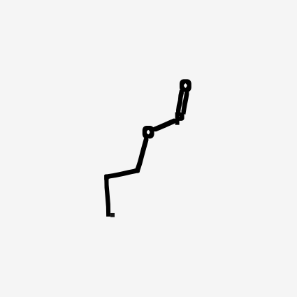 [CH2]CCOP=O